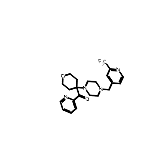 O=C(c1ccccn1)C1(N2CCN(Cc3ccnc(C(F)(F)F)c3)CC2)CCOCC1